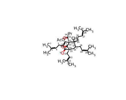 CC(=O)OC1=C(CC=C(C)C)C(=O)[C@@]2(CC=C(C)C)C[C@H](CC=C(C)C)[C@@](C)(CCC=C(C)C)[C@]1(C(=O)C(C)C)C2=O